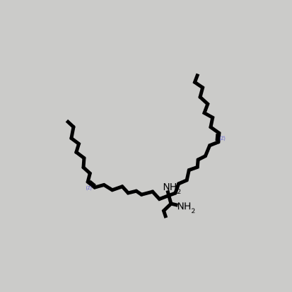 CCCCCCCC/C=C\CCCCCCCCC(N)(CCCCCCCC/C=C\CCCCCCCC)C(N)CC